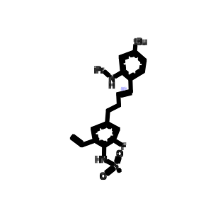 C=Cc1cc(CC/C=C/c2ccc(C(C)(C)C)cc2NC(C)C)cc(F)c1NS(C)(=O)=O